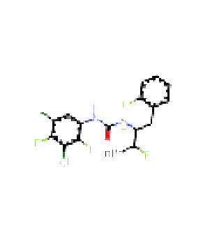 CCCC(F)C(Cc1ccccc1F)NC(=O)Nc1cc(Cl)c(F)c(Cl)c1F